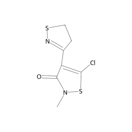 Cn1sc(Cl)c(C2=NSCC2)c1=O